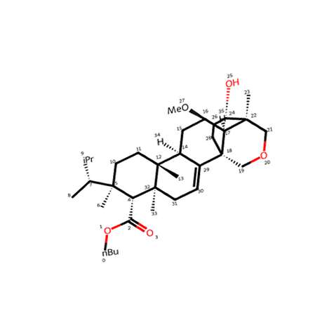 CCCCOC(=O)[C@@H]1[C@@](C)([C@H](C)C(C)C)CC[C@]2(C)[C@H]3CC[C@@H]4[C@@]5(COC[C@]4(C)[C@@H](O)[C@H](OC)C5)C3=CC[C@@]12C